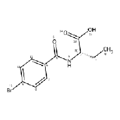 CC[C@H](NC(=O)c1ccc(Br)cc1)C(=O)O